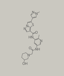 Cc1ncc(NC(=O)CN2CCCC(O)C2)cc1NC(=O)c1cnn2cc(-c3cnn(C)c3)sc12